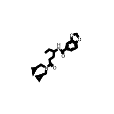 CCC(CCC(=O)N(CC1CC1)CC1CC1)NC(=O)c1ccc2c(c1)OCO2